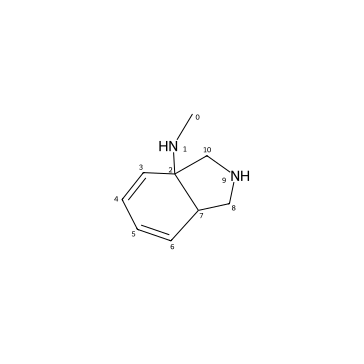 CNC12C=CC=CC1CNC2